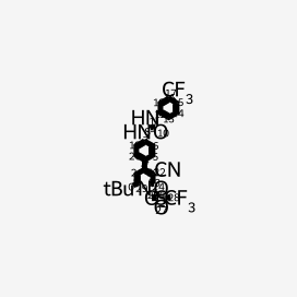 CC(C)(C)c1cc(-c2ccc(NC(=O)Nc3cccc(C(F)(F)F)c3)cc2)c(C#N)c(OS(=O)(=O)C(F)(F)F)n1